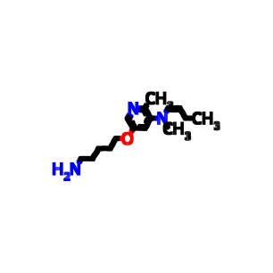 CC/C=C\N(C)c1cc(OCCCCCN)cnc1C